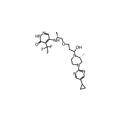 C[C@@H]1CN(c2ncc(C3CC3)cn2)CCN1C(O)CCOC[C@H](C)Nc1cn[nH]c(=O)c1C(F)(F)F